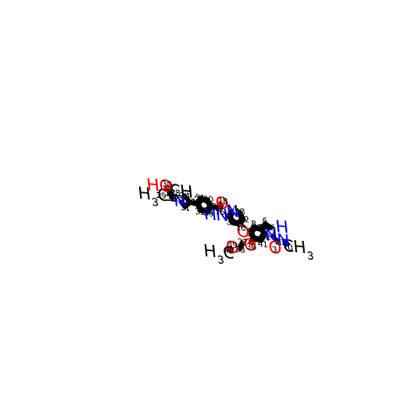 CNC(=O)n1ccc2cc(Oc3ccnc(NC(=O)c4ccc(C5CN(CC(C)(C)O)C5)cc4)c3)c(OCCOC)cc21